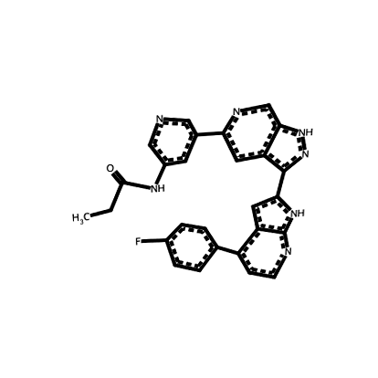 CCC(=O)Nc1cncc(-c2cc3c(-c4cc5c(-c6ccc(F)cc6)ccnc5[nH]4)n[nH]c3cn2)c1